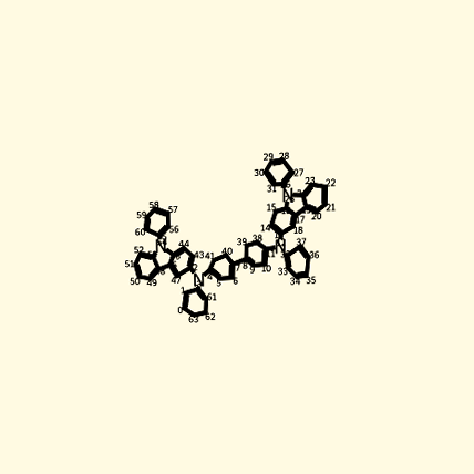 C1=CC(N(C2=CC=C(C3=CC=C(N(C4=CCC5C(=C4)c4ccccc4N5c4ccccc4)c4ccccc4)CC3)CC2)c2ccc3c(c2)c2ccccc2n3-c2ccccc2)=CCC1